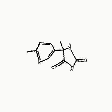 Cc1ccc(C2(C)NC(=O)NC2=O)cn1